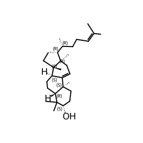 CC(C)=CCC[C@@H](C)[C@H]1CC[C@@]2(C)[C@@H]3CC[C@H]4C(C)(C)[C@@H](O)CC[C@]4(C)C3=CC[C@]12C